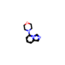 c1cc(N2CCOCC2)n2cncc2c1